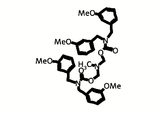 COc1cccc(CN(Cc2cccc(OC)c2)C(=O)OCN(C)COC(=O)N(Cc2cccc(OC)c2)Cc2cccc(OC)c2)c1